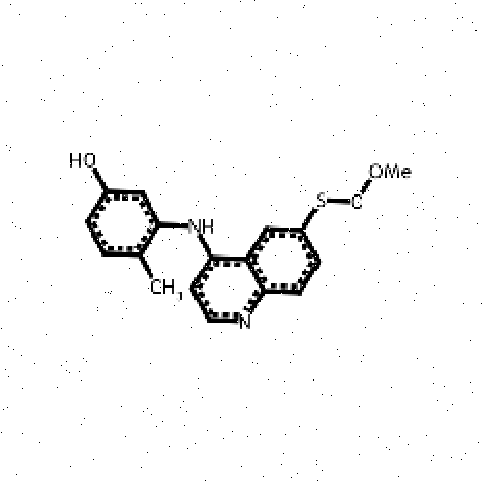 COOSc1ccc2nccc(Nc3cc(O)ccc3C)c2c1